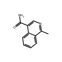 Cc1ncc(C(N)=O)c2ccccc12